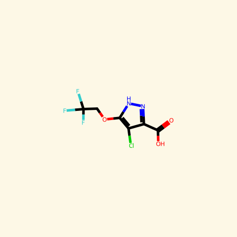 O=C(O)c1n[nH]c(OCC(F)(F)F)c1Cl